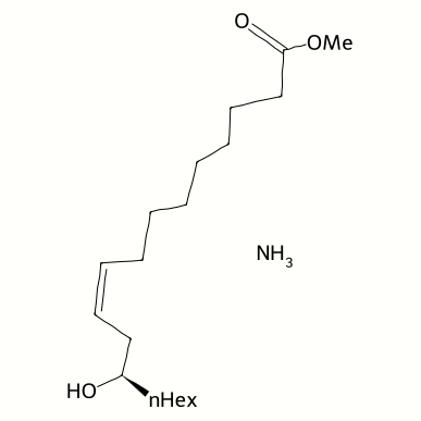 CCCCCC[C@@H](O)C/C=C\CCCCCCCC(=O)OC.N